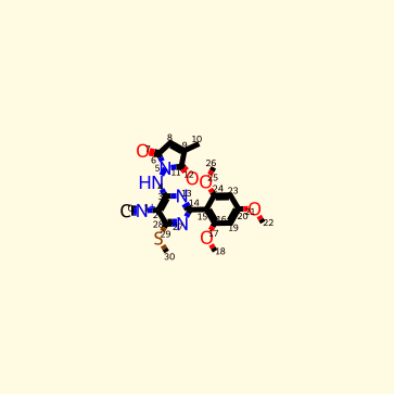 [C-]#[N+]c1c(NN2C(=O)C=C(C)C2=O)nc(-c2c(OC)cc(OC)cc2OC)nc1SC